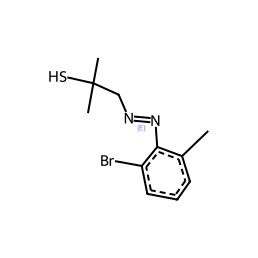 Cc1cccc(Br)c1/N=N/CC(C)(C)S